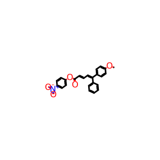 COc1ccc(C(=CC=CC(=O)Oc2ccc([N+](=O)[O-])cc2)c2ccccc2)cc1